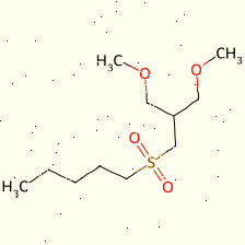 CCCCCS(=O)(=O)CC(COC)COC